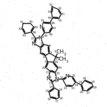 CC1(C)c2cc3c(cc2-c2cc4nc(-c5ccccc5)n(-c5ccc(-c6ccccc6)cn5)c4cc21)nc(C1=CCCC=C1)n3-c1ccc(-c2ccccc2)cn1